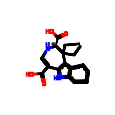 CCC1(CC)c2c([nH]c3ccccc23)C(C(=O)O)=CN[C@@H]1C(=O)O